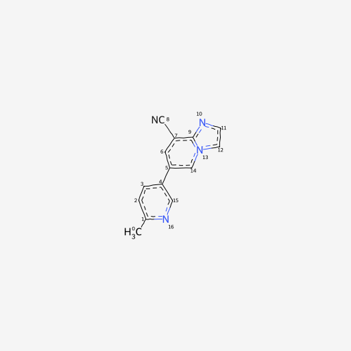 Cc1ccc(-c2cc(C#N)c3nccn3c2)cn1